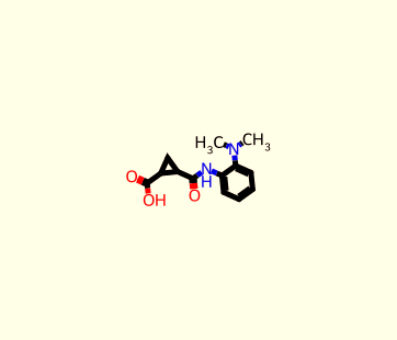 CN(C)c1ccccc1NC(=O)C1CC1C(=O)O